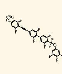 CCCCOc1cc(F)c(C#Cc2cc(F)c(-c3cc(F)c(C(F)(F)Oc4cc(F)c(F)c(F)c4)c(F)c3)c(F)c2)c(F)c1